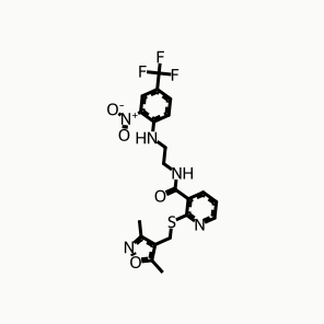 Cc1noc(C)c1CSc1ncccc1C(=O)NCCNc1ccc(C(F)(F)F)cc1[N+](=O)[O-]